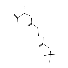 C[C@H](OC(=O)CCNC(=O)OC(C)(C)C)C(=O)O